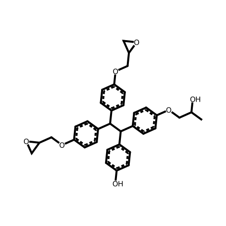 CC(O)COc1ccc(C(c2ccc(O)cc2)C(c2ccc(OCC3CO3)cc2)c2ccc(OCC3CO3)cc2)cc1